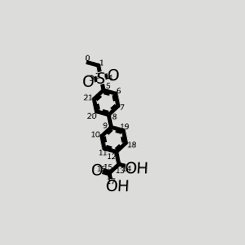 CCS(=O)(=O)c1ccc(-c2ccc(C(O)C(=O)O)cc2)cc1